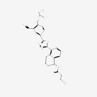 CCCC(=O)N[C@H]1CCCc2c(-c3nnc(-c4ccc(OC(C)C)c(C#N)c4)s3)cccc21